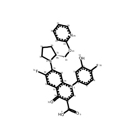 O=C(O)c1cn(-c2ccc(F)c(O)c2)c2cc(N3CCC[C@@H]3COc3ccccn3)c(F)cc2c1=O